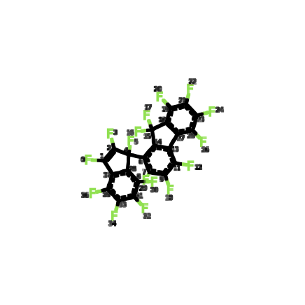 FC1=C(F)C(F)(c2c(F)c(F)c(F)c3c2C(F)(F)c2c(F)c(F)c(F)c(F)c2-3)c2c(F)c(F)c(F)c(F)c21